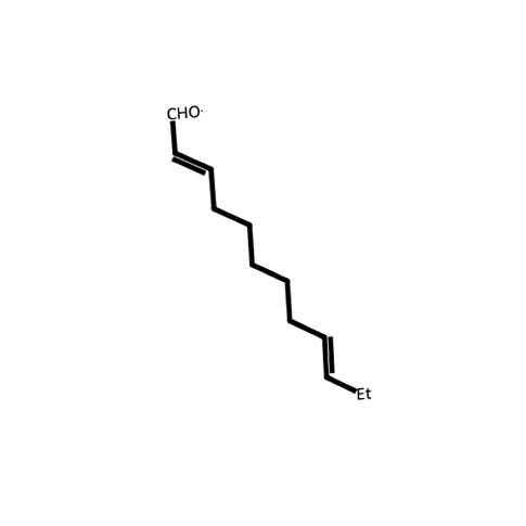 CC/C=C/CCCCC/C=C/[C]=O